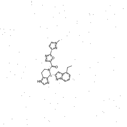 CCc1cccn2nc([C@@H]3c4nc[nH]c4CCN3C(=O)c3nnc(-c4ccn(C)n4)o3)cc12